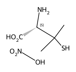 CC(C)(S)[C@@H](N)C(=O)O.O=[N+]([O-])O